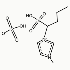 CCCC([n+]1ccn(C)c1)S(=O)(=O)O.O=S(=O)([O-])O